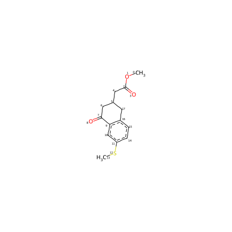 COC(=O)CC1CC(=O)c2cc(SC)ccc2C1